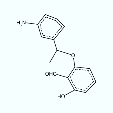 CC(Oc1cccc(O)c1C=O)c1cccc(N)c1